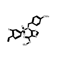 C=Cc1ccc(S(=O)(=O)N(Cc2ccc(OC)cc2)c2scnc2C(=O)OC(C)(C)C)cc1F